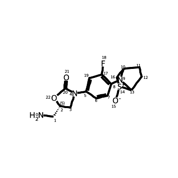 NC[C@H]1CN(c2ccc(N3C4CCC3[S+]([O-])C4)c(F)c2)C(=O)O1